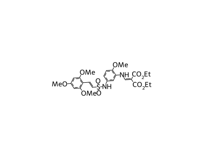 CCOC(=O)C(=CNc1cc(NS(=O)(=O)C=Cc2c(OC)cc(OC)cc2OC)ccc1OC)C(=O)OCC